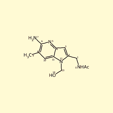 CC(=O)NCc1cc2nc(N)c(C)cc2n1CO